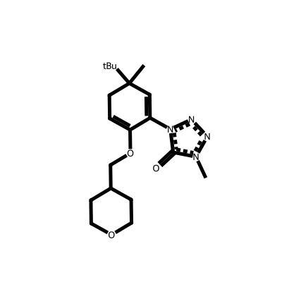 Cn1nnn(C2=CC(C)(C(C)(C)C)CC=C2OCC2CCOCC2)c1=O